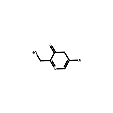 O=C1CC(Br)=CN=C1CO